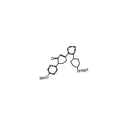 CCCCCCCC1CCC(c2ccccc2C2=CC(=O)C(c3ccc(OC)cc3)CC2)CC1